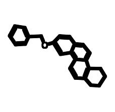 c1ccc(COc2ccc3ccc4c5c(ccc4c3c2)CCCC5)cc1